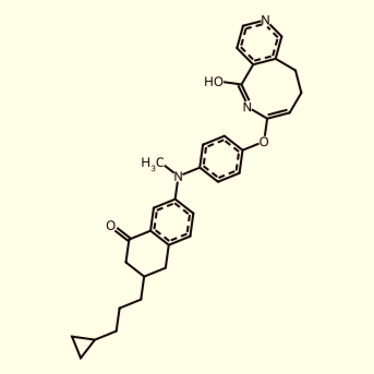 CN(c1ccc(OC2=C/CCc3cnccc3/C(O)=N\2)cc1)c1ccc2c(c1)C(=O)CC(CCCC1CC1)C2